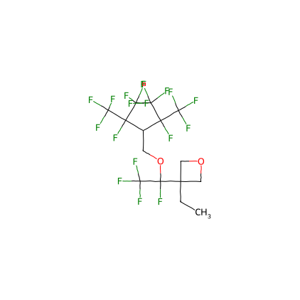 CCC1(C(F)(OCC(C(F)(C(F)(F)F)C(F)(F)F)C(F)(C(F)(F)F)C(F)(F)F)C(F)(F)F)COC1